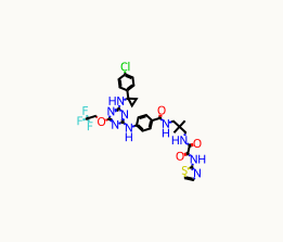 CC(C)(CNC(=O)C(=O)Nc1nccs1)CNC(=O)c1ccc(Nc2nc(NC3(c4ccc(Cl)cc4)CC3)nc(OCC(F)(F)F)n2)cc1